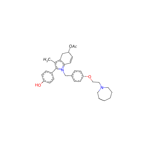 CC(=O)OC1C=Cc2c(c(C)c(-c3ccc(O)cc3)n2Cc2ccc(OCCN3CCCCCC3)cc2)C1